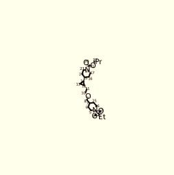 CCS(=O)(=O)N1CCC(COCC[C@@H]2C[C@@H]2C2CCN(C(=O)OC(C)C)CC2)CC1